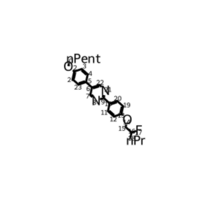 CCCCCOc1ccc(-c2cnc(-c3ccc(OCC(F)CCC)cc3)nc2)cc1